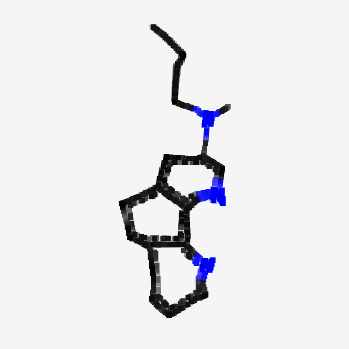 CCCN(C)c1cnc2c(ccc3cccnc32)c1